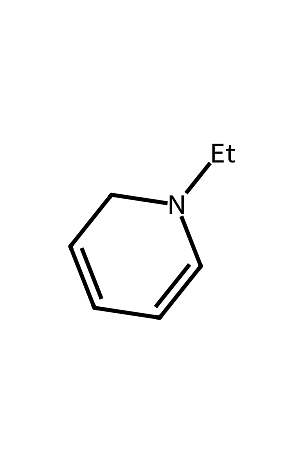 CCN1C=CC=CC1